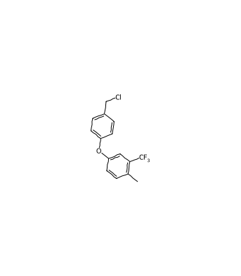 Cc1ccc(Oc2ccc(CCl)cc2)cc1C(F)(F)F